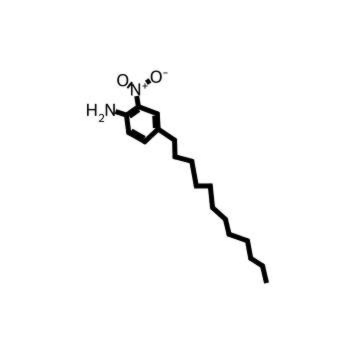 CCCCCCCCCCCCc1ccc(N)c([N+](=O)[O-])c1